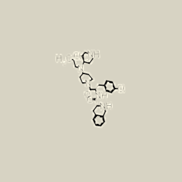 CC(C)CN(C1CCNCC1)C1CCN(C(=O)[C@@H](Cc2ccc(Cl)cc2)NC(=O)[C@H]2Cc3ccccc3CN2)CC1